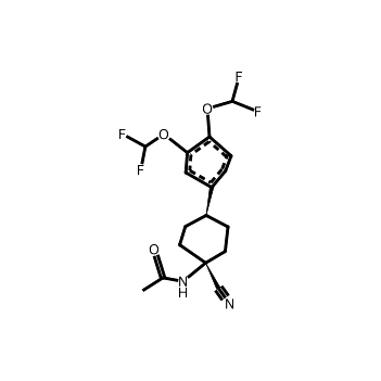 CC(=O)N[C@]1(C#N)CC[C@@H](c2ccc(OC(F)F)c(OC(F)F)c2)CC1